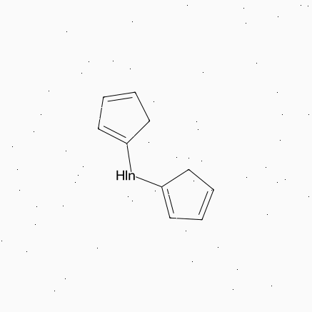 C1=CC[C]([InH][C]2=CC=CC2)=C1